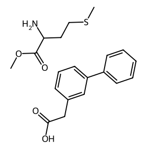 COC(=O)C(N)CCSC.O=C(O)Cc1cccc(-c2ccccc2)c1